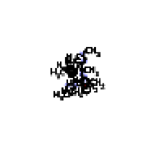 C=C(C)/C=C\C(=C/C)N(C1=CC=C(C)CC1)C(/C=C\C(=C)C1(/C(C)=C/C=C(\C)N(C(=C)/C=C\C(C)=C/C)c2ccc(C)cc2)CCCCC1)=C/C